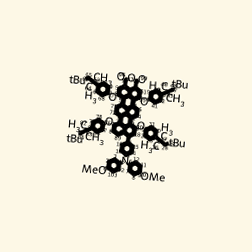 COc1ccc(N(c2ccc(OC)cc2)c2ccc(-c3cc(Oc4ccc(C(C)(C)CC(C)(C)C)cc4)c4c5ccc6c7c(Oc8ccc(C(C)(C)CC(C)(C)C)cc8)cc8c9c(cc(Oc%10ccc(C(C)(C)CC(C)(C)C)cc%10)c(c%10ccc(c%11c(Oc%12ccc(C(C)(C)CC(C)(C)C)cc%12)ccc3c%114)c5c%106)c97)C(=O)OC8=O)cc2)cc1